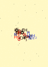 CC(=O)O.Cc1cc(OCC2(CONC(=N)N)CC2)cc(OS(=O)(=O)c2ccccc2C#N)c1